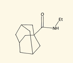 CCNC(=O)C12CC3CC(CC(C3)C1)C2